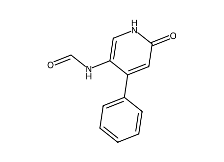 O=CNc1c[nH]c(=O)cc1-c1ccccc1